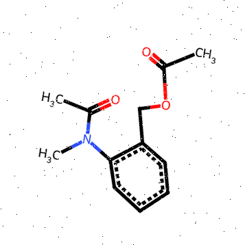 CC(=O)OCc1ccccc1N(C)C(C)=O